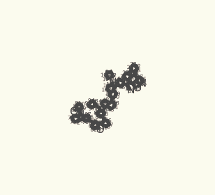 c1ccc(-n2c3ccc(-c4cnc5oc6nccc(-n7c8ccccc8c8ccccc87)c6c5c4)cc3c3c4ccc(-c5cccc6c5ccc5c6c6cc(-c7cccc8oc9ccc(-c%10ccc%11c(c%10)c%10cccc%12c%10n%11-c%10ccccc%10O%12)cc9c78)ccc6n5-c5ccccc5)cc4ccc32)cc1